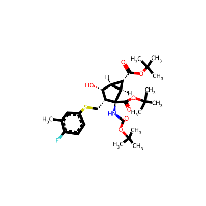 Cc1cc(SC[C@@H]2[C@H](O)[C@H]3[C@H](C(=O)OC(C)(C)C)[C@H]3[C@]2(NC(=O)OC(C)(C)C)C(=O)OC(C)(C)C)ccc1F